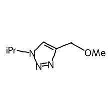 COCc1cn(C(C)C)nn1